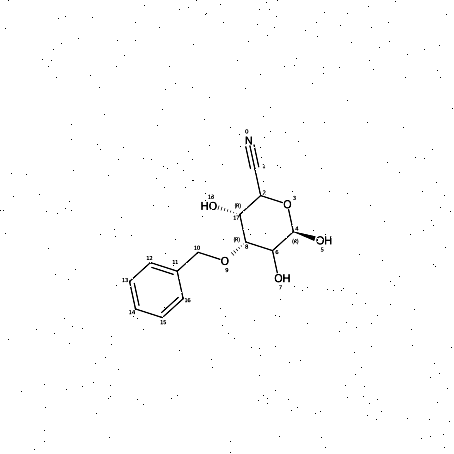 N#CC1O[C@@H](O)C(O)[C@H](OCc2ccccc2)[C@@H]1O